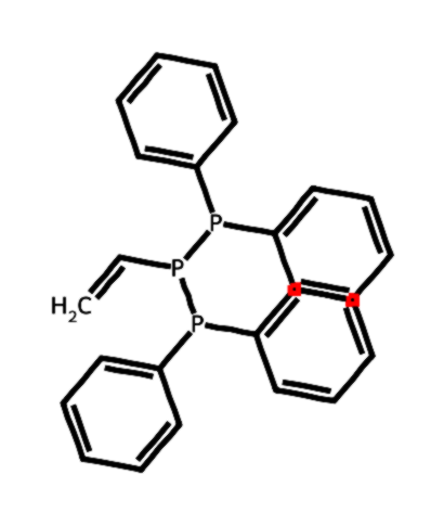 C=CP(P(c1ccccc1)c1ccccc1)P(c1ccccc1)c1ccccc1